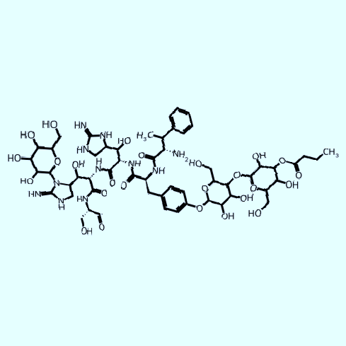 CCCC(=O)OC1C(O)C(CO)OC(OC2C(CO)OC(Oc3ccc(C[C@H](NC(=O)[C@@H](N)C(C)c4ccccc4)C(=O)N[C@H](C(=O)N[C@H](C(=O)N[C@H]([C]=O)CO)C(O)C4CNC(=N)N4C4OC(CO)C(O)C(O)C4O)C(O)C4CNC(=N)N4)cc3)C(O)C2O)C1O